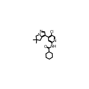 CC1(C)Cc2c(-c3cc(NC(=O)C4CCCCC4)ncc3Cl)cnn2C1